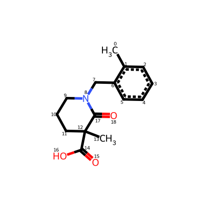 Cc1ccccc1CN1CCCC(C)(C(=O)O)C1=O